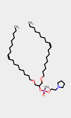 CCCCCCCC/C=C\CCCCCCCCOCC(COCCCCCCCC/C=C\CCCCCCCC)OP(C)(=O)OCCN1CCCC1